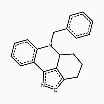 c1ccc(CN2c3ccccc3-c3noc4c3C2CCC4)cc1